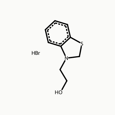 Br.OCCN1CSc2ccccc21